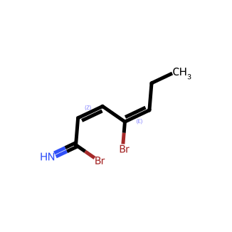 CC/C=C(Br)\C=C/C(=N)Br